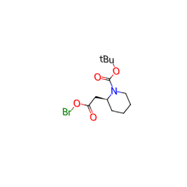 CC(C)(C)OC(=O)N1CCCC[C@H]1CC(=O)OBr